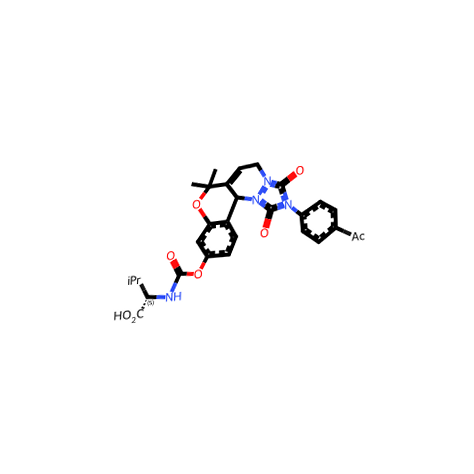 CC(=O)c1ccc(-n2c(=O)n3n(c2=O)C2C(=CC3)C(C)(C)Oc3cc(OC(=O)N[C@H](C(=O)O)C(C)C)ccc32)cc1